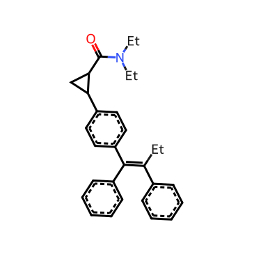 CCC(=C(c1ccccc1)c1ccc(C2CC2C(=O)N(CC)CC)cc1)c1ccccc1